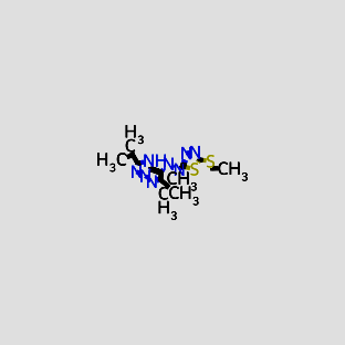 CCSc1nnc(/N=N/c2c(C(C)(C)C)nn3nc(C(C)C)[nH]c23)s1